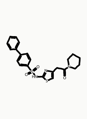 O=C(Cc1csc(NS(=O)(=O)c2ccc(-c3ccccc3)cc2)n1)N1CCCCC1